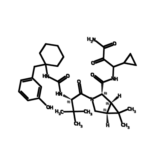 CC(C)(C)[C@H](NC(=O)NC1(Cc2cccc(O)c2)CCCCC1)C(=O)N1C[C@H]2[C@@H]([C@H]1C(=O)NC(C(=O)C(N)=O)C1CC1)C2(C)C